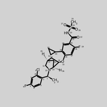 C[C@@H](c1ccc(F)cc1Cl)N1C[C@H]2C[C@@H](Oc3cc(F)c(C(=O)NS(C)(=O)=O)cc3C3CC3)[C@@H]1C2